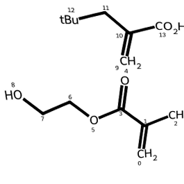 C=C(C)C(=O)OCCO.C=C(CC(C)(C)C)C(=O)O